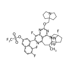 C[C@H]1Cc2nc(-c3cc(OS(=O)(=O)C(F)(F)F)cc4ccc(F)c(F)c34)c(F)c3nc(OCC45CCCN4CCC5)nc(c23)N2C[C@@]3(F)CC[C@](F)(N3)[C@H]12